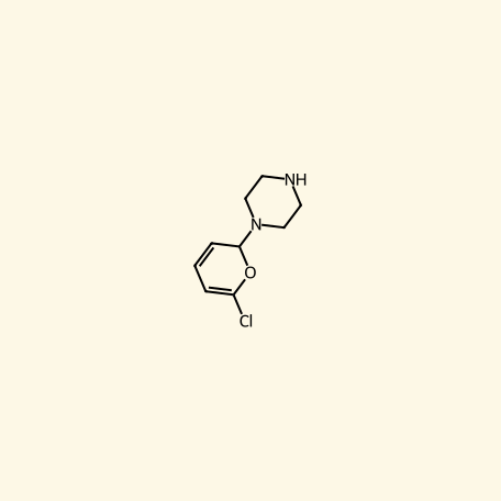 ClC1=CC=CC(N2CCNCC2)O1